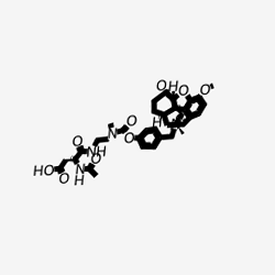 COc1ccc2c3c1O[C@H]1C(=O)CC[C@H]4C(C2)[N@@+](C)(Cc2ccc(OC(=O)N(C)CCNC(=O)[C@H](CC(=O)O)NC(C)=O)cc2)CC[C@]314